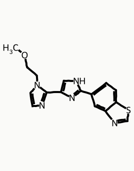 COCCn1ccnc1-c1c[nH]c(-c2ccc3scnc3c2)n1